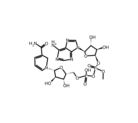 COP(=O)(O[C@H]1O[C@@H](n2cnc3c(N)ncnc32)[C@H](O)[C@H]1O)OP(=O)(O)OC[C@H]1O[C@@H](N2C=CC=C(C(N)=O)C2)[C@H](O)[C@H]1O